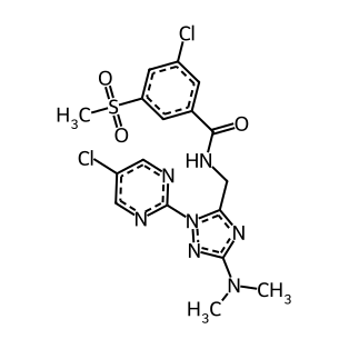 CN(C)c1nc(CNC(=O)c2cc(Cl)cc(S(C)(=O)=O)c2)n(-c2ncc(Cl)cn2)n1